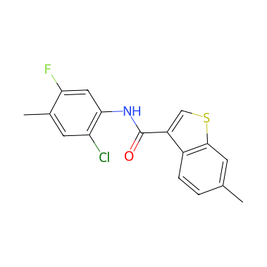 Cc1ccc2c(C(=O)Nc3cc(F)c(C)cc3Cl)csc2c1